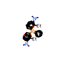 CC[C]12[C]3(N(C)C)[CH]4[CH]5[C]1(P(c1ccccc1)[C]16[CH]7[CH]8[CH]9[CH]1[Fe]89761%10%11%12[CH]6[CH]1[CH]%10[C]%11(P(c1ccccc1)[C]17[CH]8[CH]9[C]%10(N(C)C)[C]1(CC)[Fe]98%1071%11%13%14[CH]7[CH]1[CH]%11[CH]%13[CH]7%14)[CH]6%12)[Fe]45321678[CH]2[CH]1[CH]6[CH]7[CH]28